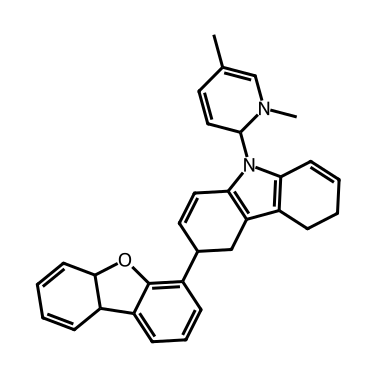 CC1=CN(C)C(n2c3c(c4c2C=CC(c2cccc5c2OC2C=CC=CC52)C4)CCC=C3)C=C1